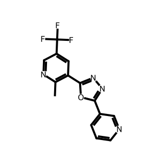 Cc1ncc(C(F)(F)F)cc1-c1nnc(-c2cccnc2)o1